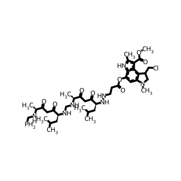 COC(=O)c1c(C)[nH]c2c(OC(=O)CCNN[C@@H](CC(C)C)C(=O)CC(=O)[C@H](C)NCN[C@@H](CC(C)C)C(=O)CC(=O)[C@H](C)NCP)cc3c(c12)C(CCl)CN3C